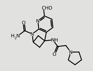 NC(=O)N1c2nc(C=O)ccc2C2(NC(=O)CN3CCCC3)CC1C2